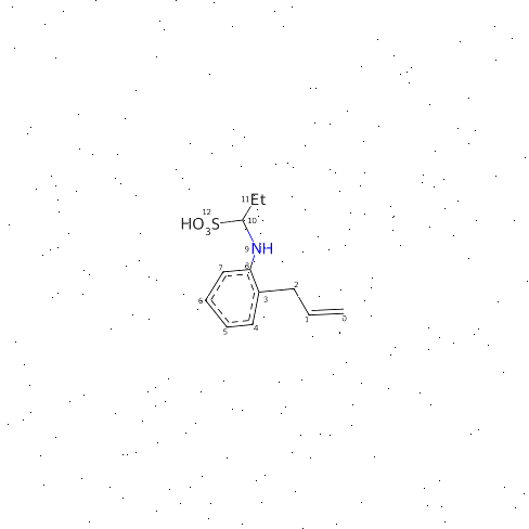 C=CCc1ccccc1NC(CC)S(=O)(=O)O